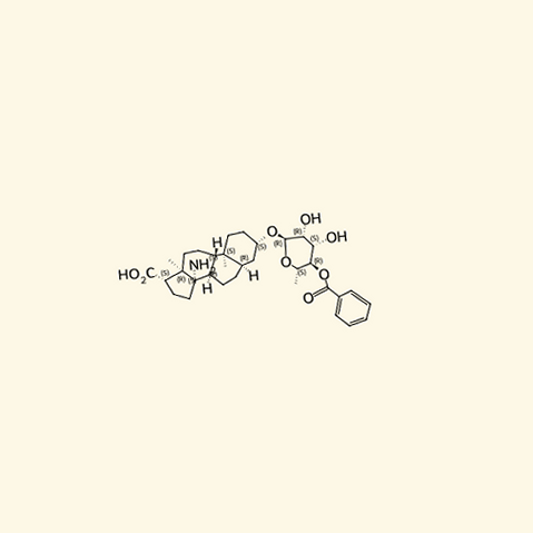 C[C@@H]1O[C@@H](O[C@H]2CC[C@@]3(C)[C@H](CC[C@@H]4[C@@H]3CC[C@]3(C)[C@@H](C(=O)O)CC[C@]43N)C2)[C@H](O)[C@H](O)[C@H]1OC(=O)c1ccccc1